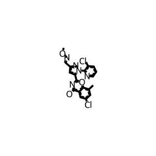 CON=Cc1cc(-c2nc(=O)c3cc(Cl)cc(C)c3o2)n(-c2ncccc2Cl)n1